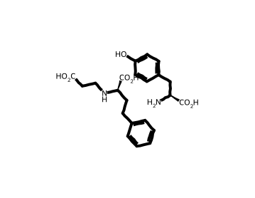 N[C@@H](Cc1ccc(O)cc1)C(=O)O.O=C(O)CCN[C@H](CCc1ccccc1)C(=O)O